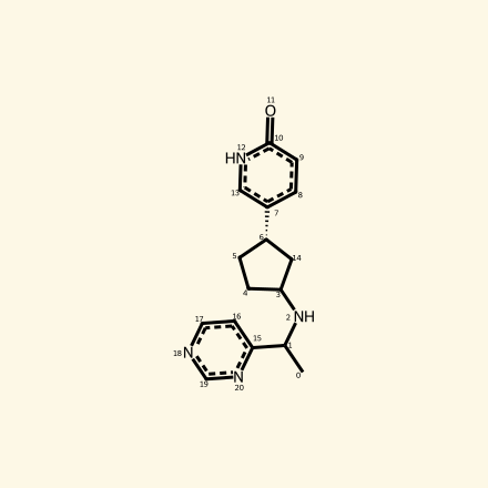 CC(NC1CC[C@H](c2ccc(=O)[nH]c2)C1)c1ccncn1